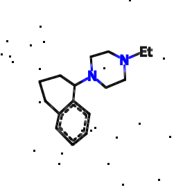 CCN1CCN(C2CCCc3ccccc32)CC1